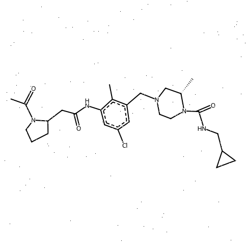 CC(=O)N1CCCC1CC(=O)Nc1cc(Cl)cc(CN2CCN(C(=O)NCC3CC3)[C@@H](C)C2)c1C